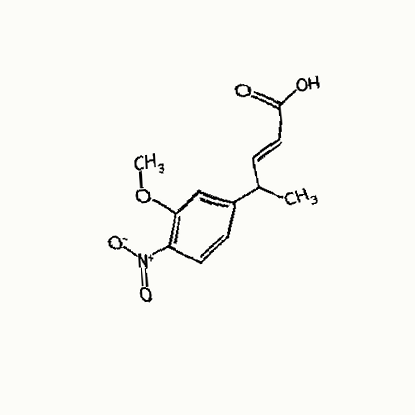 COc1cc(C(C)C=CC(=O)O)ccc1[N+](=O)[O-]